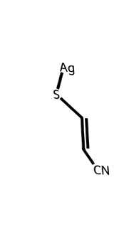 N#CC=C[S][Ag]